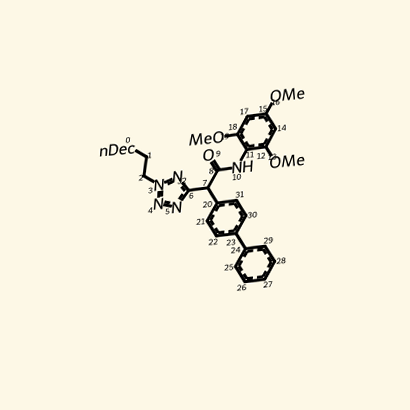 CCCCCCCCCCCCn1nnc(C(C(=O)Nc2c(OC)cc(OC)cc2OC)c2ccc(-c3ccccc3)cc2)n1